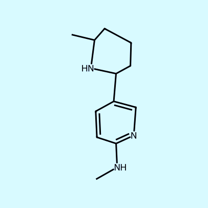 CNc1ccc(C2CCCC(C)N2)cn1